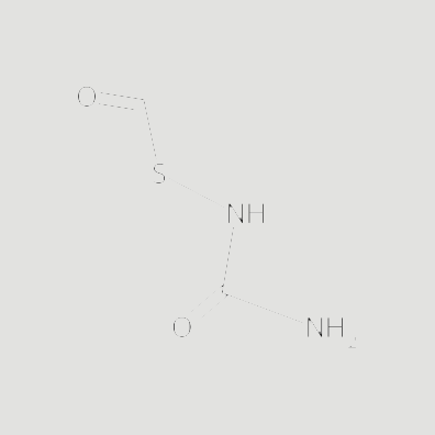 NC(=O)NSC=O